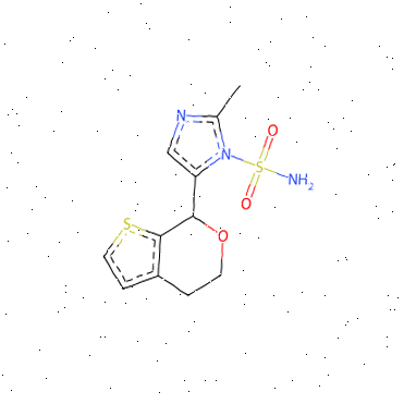 Cc1ncc(C2OCCc3ccsc32)n1S(N)(=O)=O